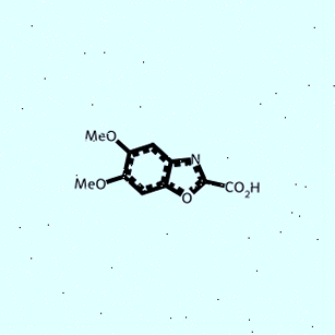 COc1cc2nc(C(=O)O)oc2cc1OC